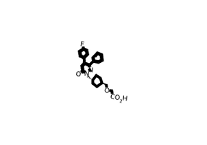 O=C(O)COC[C@H]1CC[C@H](Cn2nc(-c3ccccc3)c(-c3ccc(F)cc3)cc2=O)CC1